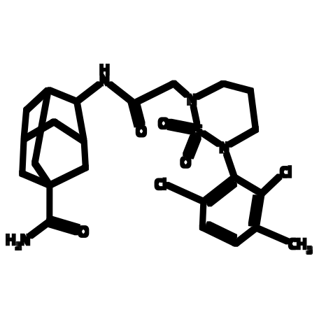 Cc1ccc(Cl)c(N2CCCN(CC(=O)NC3C4CC5CC3CC(C(N)=O)(C5)C4)S2(=O)=O)c1Cl